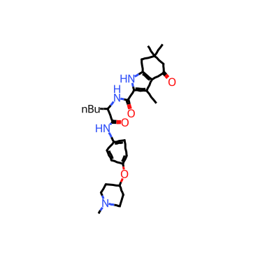 CCCCC(NC(=O)c1[nH]c2c(c1C)C(=O)CC(C)(C)C2)C(=O)Nc1ccc(OC2CCN(C)CC2)cc1